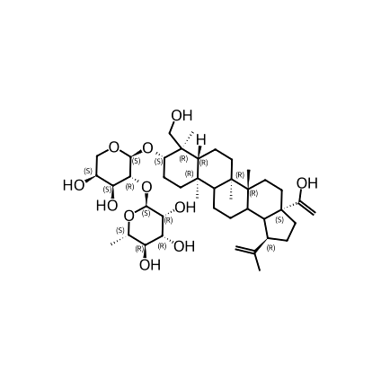 C=C(C)[C@@H]1CC[C@]2(C(=C)O)CC[C@]3(C)C(CCC4[C@@]5(C)CC[C@H](O[C@@H]6OC[C@H](O)[C@H](O)[C@H]6O[C@@H]6O[C@@H](C)[C@H](O)[C@@H](O)[C@H]6O)[C@@](C)(CO)[C@@H]5CC[C@]43C)C12